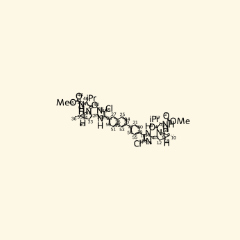 COC(=O)N[C@H](C(=O)N1[C@@H]2[C@H](C)[C@@H]2C[C@H]1c1nc(Cl)c(-c2ccc(-c3ccc4cc(-c5[nH]c([C@@H]6C[C@H]7[C@@H](C)[C@H]7N6C(=O)[C@@H](NC(=O)OC)C(C)C)nc5Cl)ccc4c3)cc2)[nH]1)C(C)C